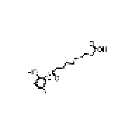 Cc1ccc(O)c(NC(=O)CCCCCCCCC(=O)O)c1